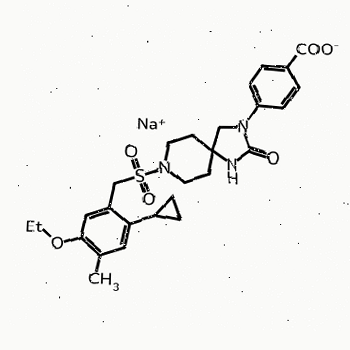 CCOc1cc(CS(=O)(=O)N2CCC3(CC2)CN(c2ccc(C(=O)[O-])cc2)C(=O)N3)c(C2CC2)cc1C.[Na+]